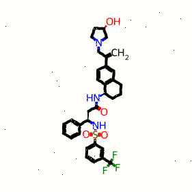 C=C(CN1CC[C@@H](O)C1)c1ccc2c(c1)CCC[C@H]2NC(=O)C[C@@H](NS(=O)(=O)c1cccc(C(F)(F)F)c1)c1ccccc1